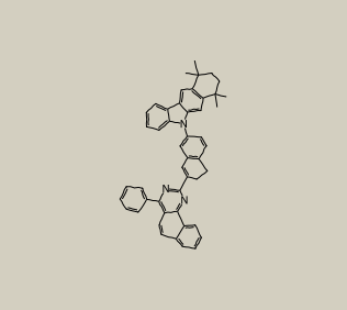 CC1(C)CCC(C)(C)c2cc3c(cc21)c1ccccc1n3-c1ccc2c(c1)C=C(c1nc(-c3ccccc3)c3ccc4ccccc4c3n1)CC2